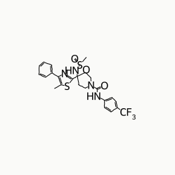 Cc1sc(C2(NS(C)(=O)=O)CCN(C(=O)Nc3ccc(C(F)(F)F)cc3)CC2)nc1-c1ccccc1